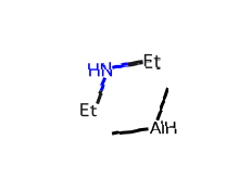 CCNCC.[CH3][AlH][CH3]